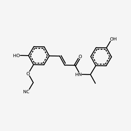 CC(NC(=O)/C=C/c1ccc(O)c(OCC#N)c1)c1ccc(O)cc1